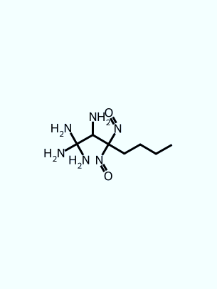 CCCCC(N=O)(N=O)C(N)C(N)(N)N